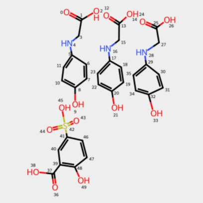 O=C(O)CNc1ccc(O)cc1.O=C(O)CNc1ccc(O)cc1.O=C(O)CNc1ccc(O)cc1.O=C(O)c1cc(S(=O)(=O)O)ccc1O